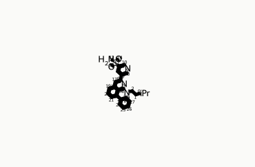 CC(C)CCNc1nc(-c2cncc(S(N)(=O)=O)c2)cc2cccc(-c3ccccc3)c12